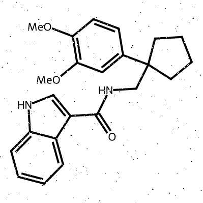 COc1ccc(C2(CNC(=O)c3c[nH]c4ccccc34)CCCC2)cc1OC